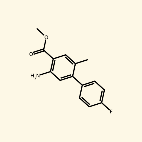 COC(=O)c1cc(C)c(-c2ccc(F)cc2)cc1N